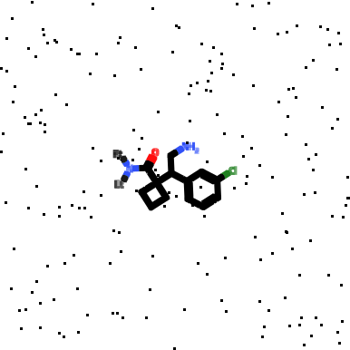 CCN(CC)C(=O)C1(C(CN)c2cccc(Cl)c2)CCC1